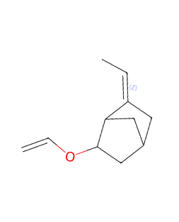 C=COC1CC2C/C(=C/C)C1C2